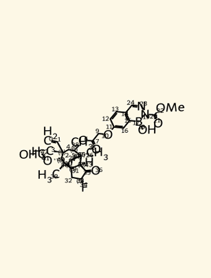 C=C[C@]1(C)C[C@@H](OC(=O)COc2ccc3c(c2)B(O)N(C(=O)OC)N=C3)[C@]2(C)[C@H](C)CC[C@]3(C[C@H](F)C(=O)[C@H]32)[C@@H](C)[C@@H]1OC=O